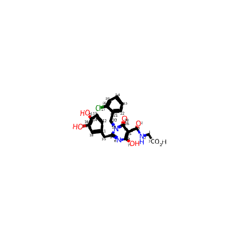 O=C(O)CNC(=O)c1c(O)nc(Cc2ccc(O)c(O)c2)n(Cc2ccccc2Cl)c1=O